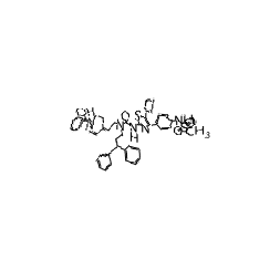 CS(=O)(=O)Nc1ccc(-c2nc(NC(=O)N(CCC3CCN(C(=O)O)CC3)CCC(c3ccccc3)c3ccccc3)sc2Cl)cc1